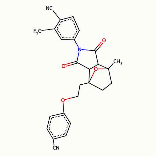 CC12CCC(CCOc3ccc(C#N)cc3)(O1)C1C(=O)N(c3ccc(C#N)c(C(F)(F)F)c3)C(=O)C12